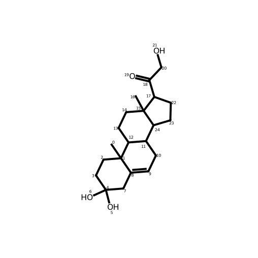 CC12CCC(O)(O)CC1=CCC1C2CCC2(C)C(C(=O)CO)CCC12